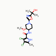 CO[C@H]1CN(c2cnc(C(C)(C)O)o2)CCC1NC(=O)c1[nH]c(C)c(Cl)c1Cl